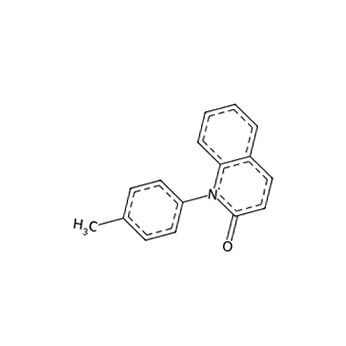 Cc1ccc(-n2c(=O)ccc3ccccc32)cc1